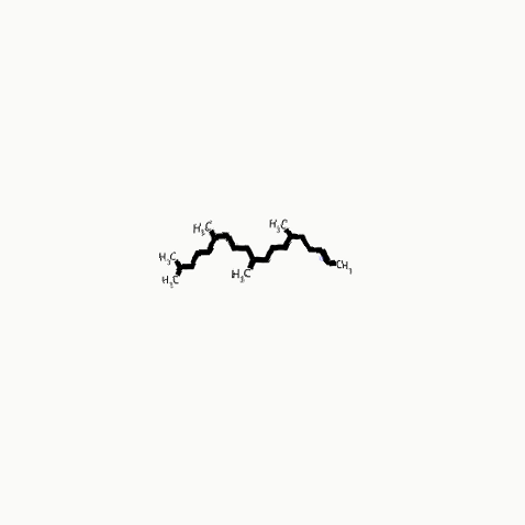 C/C=C/CCC(C)CCCC(C)CCCC(C)CCCC(C)C